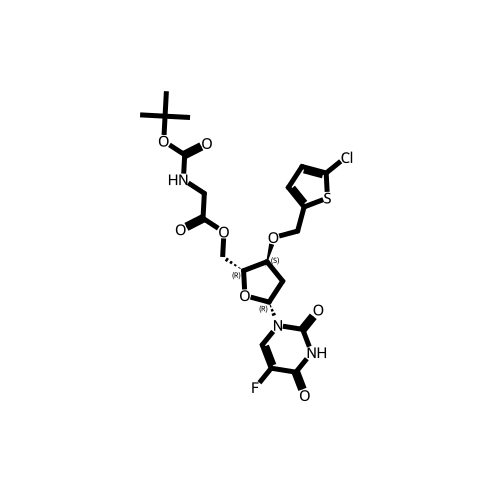 CC(C)(C)OC(=O)NCC(=O)OC[C@H]1O[C@@H](n2cc(F)c(=O)[nH]c2=O)C[C@@H]1OCc1ccc(Cl)s1